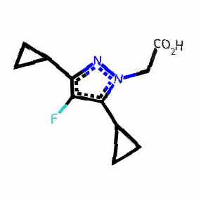 O=C(O)Cn1nc(C2CC2)c(F)c1C1CC1